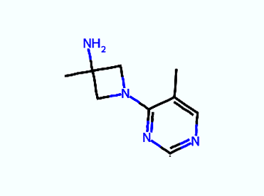 Cc1cn[c]nc1N1CC(C)(N)C1